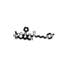 Cc1nnc(Cc2cc3cnc(NCCCCCN4CCN(C)CC4)nc3n(C3CCCC3)c2=O)o1